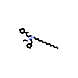 CCCCCCCCCCCCCCn1cc(CC(C)c2ccccc2)[n+](CCC)c1Cc1ccccc1